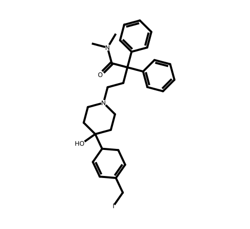 CN(C)C(=O)C(CCN1CCC(O)(C2C=CC(CI)=CC2)CC1)(c1ccccc1)c1ccccc1